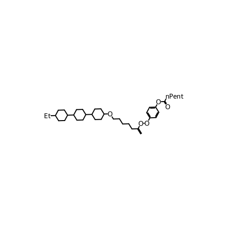 C=C(CCCCCOC1CCC(C2CCC(C3CCC(CC)CC3)CC2)CC1)OOc1ccc(OC(=O)CCCCC)cc1